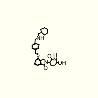 O=C1NC(O)CCC1N1Cc2c(SCc3ccc(CNCC4CCCCC4)cc3)cccc2C1=O